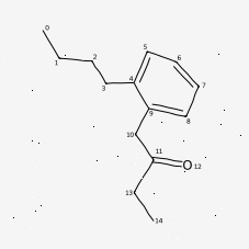 CCCCc1ccccc1CC(=O)CC